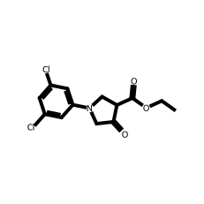 CCOC(=O)C1CN(c2cc(Cl)cc(Cl)c2)CC1=O